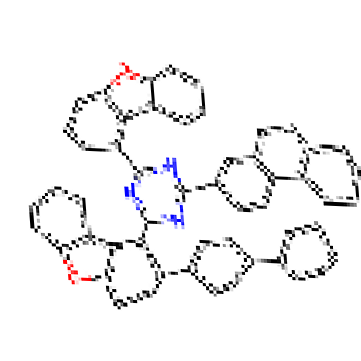 c1ccc(-c2ccc(-c3ccc4oc5ccccc5c4c3-c3nc(-c4ccc5c(ccc6ccccc65)c4)nc(-c4cccc5oc6ccccc6c45)n3)cc2)cc1